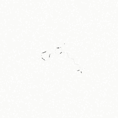 CCCc1nn(-c2ccc(C(F)(F)F)cn2)cc1CCCCOS(C)(=O)=O